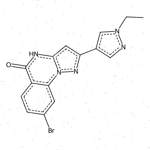 CCn1cc(-c2cc3[nH]c(=O)c4ccc(Br)cc4n3n2)cn1